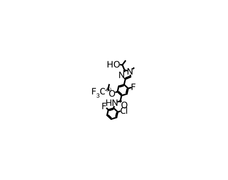 CC(O)c1nc(-c2cc(O[C@@H](C)C(F)(F)F)c(C(=O)Nc3c(F)cccc3Cl)cc2F)cn1C